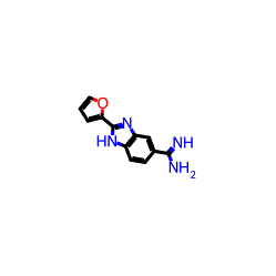 N=C(N)c1ccc2[nH]c(-c3ccco3)nc2c1